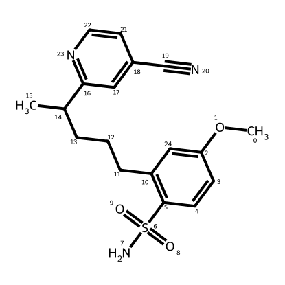 COc1ccc(S(N)(=O)=O)c(CCCC(C)c2cc(C#N)ccn2)c1